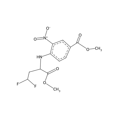 COC(=O)c1ccc(NC(CC(F)F)C(=O)OC)c([N+](=O)[O-])c1